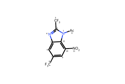 CC(=O)n1c(C(F)(F)F)nc2cc(C(F)(F)F)cc([N+](=O)[O-])c21